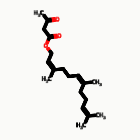 CC(=O)CC(=O)OCC=C(C)CCC=C(C)CCC=C(C)C